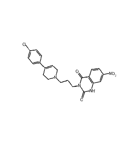 O=c1[nH]c2cc([N+](=O)[O-])ccc2c(=O)n1CCCN1CC=C(c2ccc(Cl)cc2)CC1